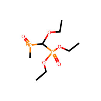 CCOC([PH](C)=O)P(=O)(OCC)OCC